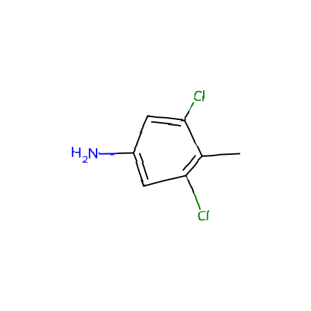 Cc1c(Cl)cc(N)cc1Cl